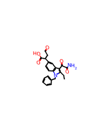 CCc1c(C(=O)C(N)=O)c2cc(C(CC=O)C(=O)O)ccc2n1Cc1ccccc1